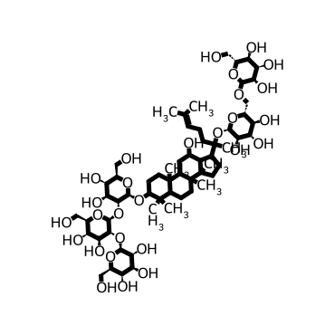 CC(C)=CCCC(C)(O[C@@H]1O[C@H](COC2O[C@H](CO)[C@@H](O)[C@H](O)[C@H]2O)[C@@H](O)[C@H](O)[C@H]1O)C1CCC2(C)C1C(O)CC1C3(C)CCC(O[C@@H]4O[C@H](CO)[C@@H](O)[C@H](O)[C@H]4O[C@@H]4O[C@H](CO)[C@@H](O)[C@H](O)[C@H]4O[C@@H]4O[C@H](CO)[C@@H](O)[C@H](O)[C@H]4O)C(C)(C)C3CCC12C